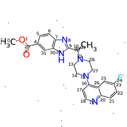 COC(=O)c1ccc2nc([C@@H](C)N3CCN(c4ccnc5ccc(F)cc45)CC3)[nH]c2c1